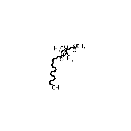 CC/C=C\C/C=C\C/C=C\C/C=C\C/C=C\C/C=C\CCC(=O)N1C[C@@H](C)N(C(=O)/C=C/C(=O)OC)[C@@H](C)C1